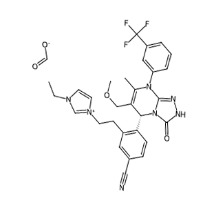 CCn1cc[n+](CCc2cc(C#N)ccc2[C@@H]2C(COC)=C(C)N(c3cccc(C(F)(F)F)c3)c3n[nH]c(=O)n32)c1.O=C[O-]